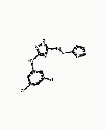 Clc1cc(Cl)cc(Nc2n[nH]c(NCc3ccco3)n2)c1